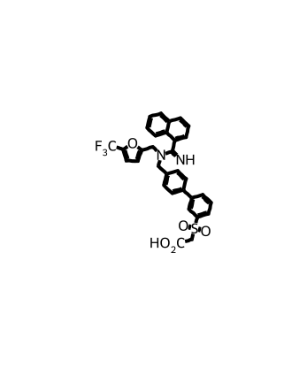 N=C(c1cccc2ccccc12)N(Cc1ccc(-c2cccc(S(=O)(=O)CC(=O)O)c2)cc1)Cc1ccc(C(F)(F)F)o1